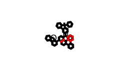 CC1(c2ccccc2)c2ccccc2-c2cc(N(c3ccc(-c4cccc5c4oc4ccccc45)cc3)c3ccccc3-c3ccccc3-c3ccccc3-c3ccccc3)ccc21